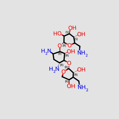 NCC1O[C@H](O[C@@H]2C(N)C[C@@H](N)C(O[C@H]3OC[C@H](O)C(CN)[C@H]3O)[C@H]2O)C(O)[C@@H](O)[C@@H]1O